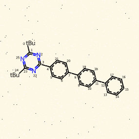 CC(C)(C)c1nc(-c2ccc(-c3ccc(-c4ccccc4)cc3)cc2)nc(C(C)(C)C)n1